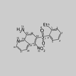 CCc1ccccc1S(=O)(=O)c1cc(N)c2ncccc2c1[N+](=O)[O-]